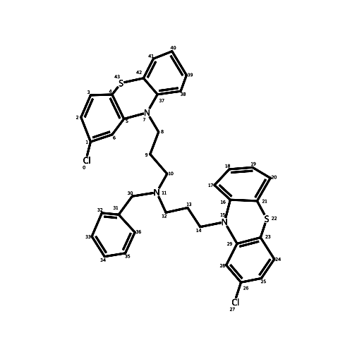 Clc1ccc2c(c1)N(CCCN(CCCN1c3ccccc3Sc3ccc(Cl)cc31)Cc1ccccc1)c1ccccc1S2